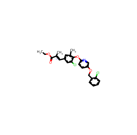 CCOC(=O)/C(C)=C/c1cc(C)c(Oc2ccc(OCc3ccccc3Cl)cn2)c(Cl)c1